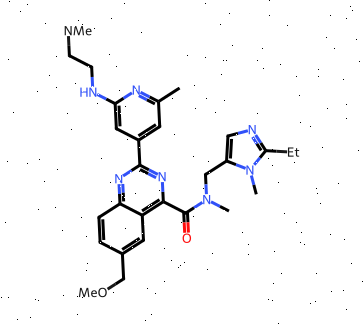 CCc1ncc(CN(C)C(=O)c2nc(-c3cc(C)nc(NCCNC)c3)nc3ccc(COC)cc23)n1C